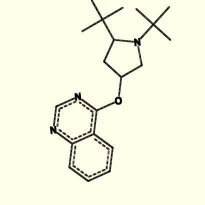 CC(C)(C)C1CC(Oc2ncnc3ccccc23)CN1C(C)(C)C